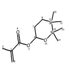 C=C(C)C(=O)OC1CC[Si](C)(C)[Si](C)(C)O1